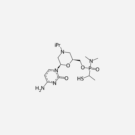 CC(C)N1C[C@@H](COP(=O)(C(C)S)N(C)C)O[C@@H](n2ccc(N)nc2=O)C1